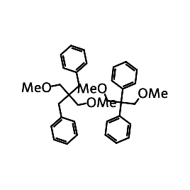 COCC(COC)(Cc1ccccc1)Cc1ccccc1.COCC(COC)(c1ccccc1)c1ccccc1